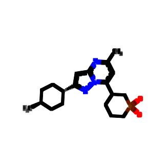 Cc1cc(C2CCCS(=O)(=O)C2)n2nc([C@H]3CC[C@H](C(F)(F)F)CC3)cc2n1